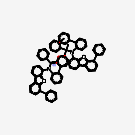 Cc1ccccc1C(C)(CC/C=C(\c1ccccc1)N(c1ccccc1-c1ccccc1)c1cccc2c1oc1c(-c3ccccc3)cccc12)N(c1ccccc1-c1ccccc1)c1cccc2c1oc1c(-c3ccccc3)cccc12